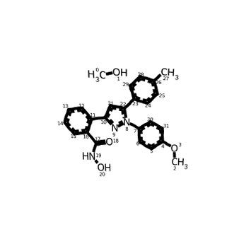 CO.COc1ccc(-n2nc(-c3ccccc3C(=O)NO)cc2-c2ccc(C)cc2)cc1